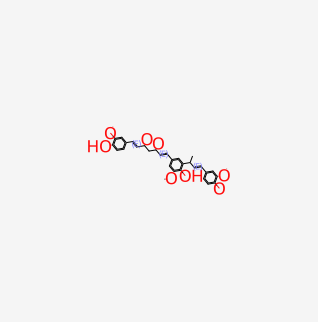 COc1cc(/C=C/C(=O)CC(=O)/C=C/c2cc(OC)c(O)c(C(C)/C=C/c3ccc(OC)c(OC)c3)c2)ccc1O